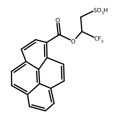 O=C(OC(CS(=O)(=O)O)C(F)(F)F)c1ccc2ccc3cccc4ccc1c2c34